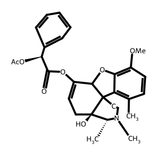 COc1ccc(C)c2c1OC1C(OC(=O)[C@@H](OC(C)=O)c3ccccc3)=CC[C@@]3(O)[C@@H](C)N(C)CCC213